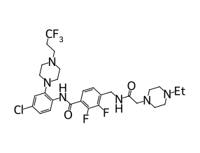 CCN1CCN(CC(=O)NCc2ccc(C(=O)Nc3ccc(Cl)cc3N3CCN(CCC(F)(F)F)CC3)c(F)c2F)CC1